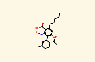 C=C(C)[C@@H]1CCC(C)=CC1c1c(O)cc(CCCCC)c(C(=O)O)c1N=O